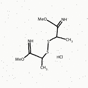 COC(=N)C(C)SSC(C)C(=N)OC.Cl